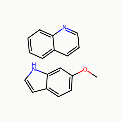 COc1ccc2cc[nH]c2c1.c1ccc2ncccc2c1